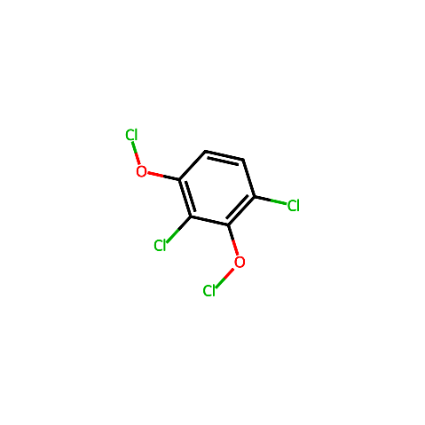 ClOc1ccc(Cl)c(OCl)c1Cl